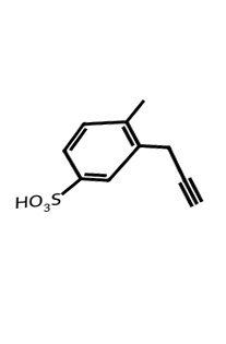 C#CCc1cc(S(=O)(=O)O)ccc1C